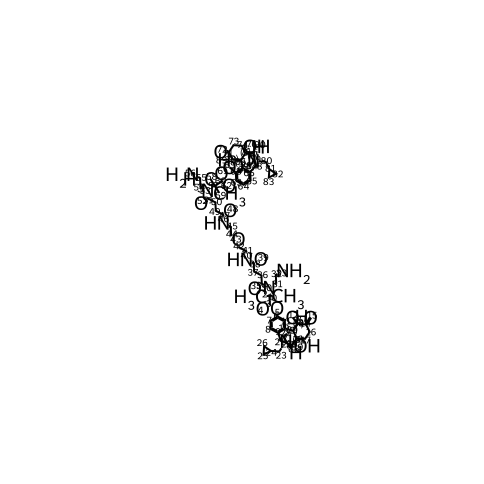 CC(C)(C(=O)Oc1ccc2c3c1O[C@H]1C(=O)CC[C@@]4(O)[C@@H](C2)N(CC2CC2)CC[C@]314)N(CCN)C(=O)CCC(=O)NCCOCCNC(=O)CCC(=O)N(CCN)C(C)(C)C(=O)Oc1ccc2c3c1O[C@H]1C(=O)CC[C@@]4(O)[C@@H](C2)N(CC2CC2)CC[C@]314